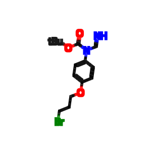 CC(C)(C)OC(=O)N(C=N)c1ccc(OCCCBr)cc1